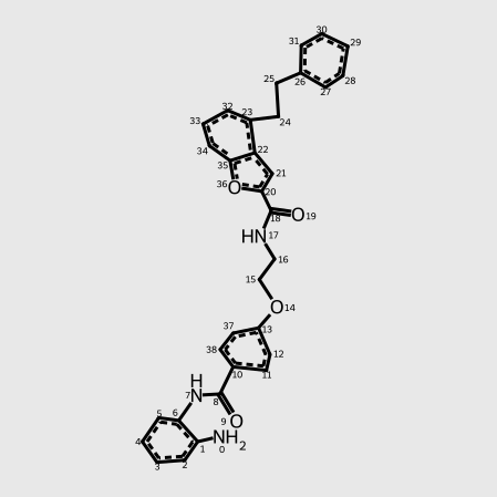 Nc1ccccc1NC(=O)c1ccc(OCCNC(=O)c2cc3c(CCc4ccccc4)cccc3o2)cc1